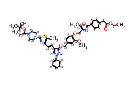 CCOC(=O)Cc1ccc(-c2nc(COc3ccc(COc4nn(-c5ccccc5)cc4C=Cc4nc(N5CCN(C(=O)OC(C)(C)C)CC5)sc4C)cc3OC)c(C)o2)cc1